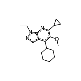 CCn1ncc2c(C3CCCCC3)c(OC)c(C3CC3)nc21